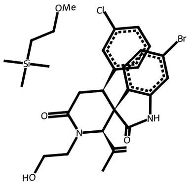 C=C(C)[C@H]1N(CCO)C(=O)C[C@@H](c2cccc(Cl)c2)[C@]12C(=O)Nc1cc(Br)ccc12.COCC[Si](C)(C)C